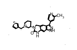 Cc1cc(-c2n[nH]c3cc4c(cc23)CN([C@@H]2CCCN(Cc3ccsc3)C2)C(=O)N4)ccn1